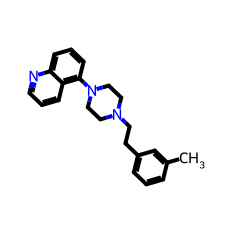 Cc1cccc(CCN2CCN(c3cccc4ncccc34)CC2)c1